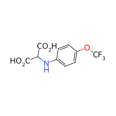 O=C(O)C(Nc1ccc(OC(F)(F)F)cc1)C(=O)O